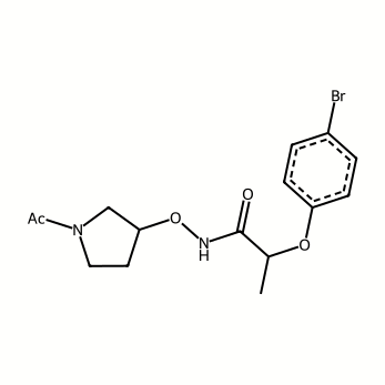 CC(=O)N1CCC(ONC(=O)C(C)Oc2ccc(Br)cc2)C1